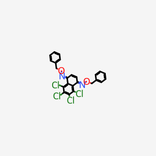 Clc1c(Cl)c(Cl)c2c(c1Cl)C(=NOCc1ccccc1)C=CC2=NOCc1ccccc1